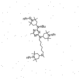 CCCCN(c1nc(C)nc(N(CCCCCCN(C)C2CC(C)(C)N(CCC)C(C)(C)C2)C2CC(C)(C)N(CCC)C(C)(C)C2)n1)C1CC(C)(C)N(OCCC)C(C)(C)C1